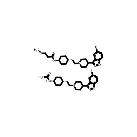 CC(=O)N[C@H]1CC[C@H](CCN2CCC(c3noc4ccc(F)cc34)CC2)CC1.COCCC(=O)N[C@H]1CC[C@H](CCN2CCC(c3noc4ccc(F)cc34)CC2)CC1